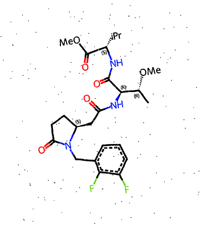 COC(=O)[C@@H](NC(=O)[C@H](NC(=O)C[C@@H]1CCC(=O)N1Cc1cccc(F)c1F)[C@@H](C)OC)C(C)C